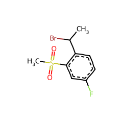 CC(Br)c1ccc(F)cc1S(C)(=O)=O